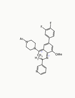 C=C(/N=C1/C(OC)=CC(c2ccc(F)c(F)c2)=C/C1=C(/C)N1CCN(C(C)=O)CC1)c1cccnc1